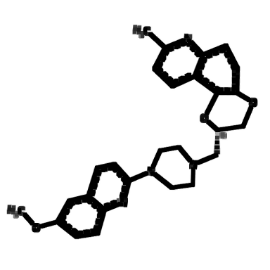 COc1ccc2nc(N3CCN(C[C@H]4COc5ccc6nc(C)ccc6c5O4)CC3)ccc2c1